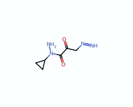 N=NCC(=O)C(=O)N(N)C1CC1